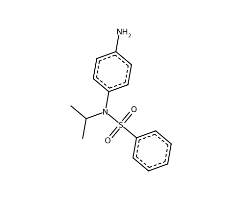 CC(C)N(c1ccc(N)cc1)S(=O)(=O)c1ccccc1